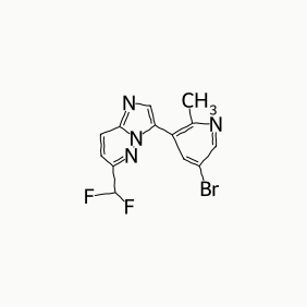 Cc1ncc(Br)cc1-c1cnc2ccc(C(F)F)nn12